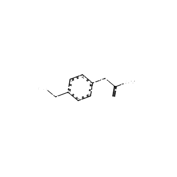 CNC(=O)Cc1ccc(CC(C)(C)C)cc1